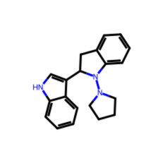 c1ccc2c(c1)CC(c1c[nH]c3ccccc13)N2N1CCCC1